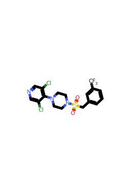 O=S(=O)(Cc1cccc(C(F)(F)F)c1)N1CCN(c2c(Cl)cncc2Cl)CC1